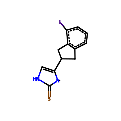 S=C1[N]C(C2Cc3cccc(I)c3C2)=CN1